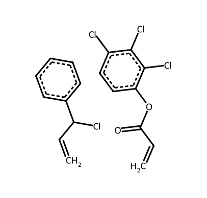 C=CC(=O)Oc1ccc(Cl)c(Cl)c1Cl.C=CC(Cl)c1ccccc1